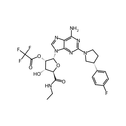 CCNC(=O)[C@@H]1O[C@@H](n2cnc3c(N)nc(N4CC[C@H](c5ccc(F)cc5)C4)nc32)[C@@H](OC(=O)C(F)(F)F)[C@H]1O